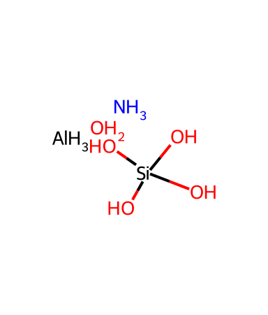 N.O.O[Si](O)(O)O.[AlH3]